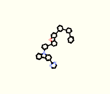 c1ccc(-c2cccc(-c3cccc(-c4ccc5oc6c(-c7cccc(-n8c9ccccc9c9cc(-c%10ncccn%10)ccc98)c7)cccc6c5c4)c3)c2)cc1